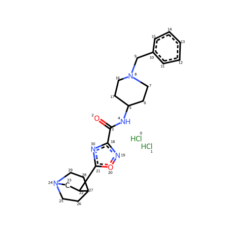 Cl.Cl.O=C(NC1CCN(Cc2ccccc2)CC1)c1noc(C2CN3CCC2CC3)n1